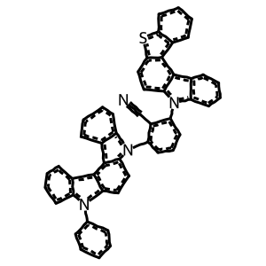 N#Cc1c(-n2c3ccccc3c3c4c(ccc32)sc2ccccc24)cccc1-n1c2ccccc2c2c3c4ccccc4n(-c4ccccc4)c3ccc21